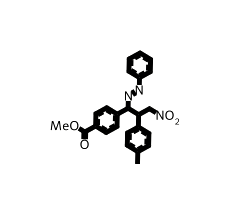 COC(=O)c1ccc(C(/N=N/c2ccccc2)C(C[N+](=O)[O-])c2ccc(C)cc2)cc1